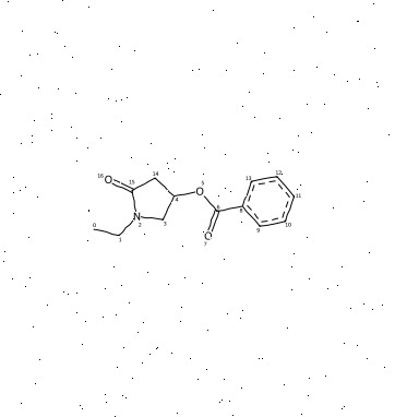 CCN1CC(OC(=O)c2ccccc2)CC1=O